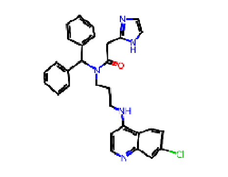 O=C(Cc1ncc[nH]1)N(CCCNc1ccnc2cc(Cl)ccc12)C(c1ccccc1)c1ccccc1